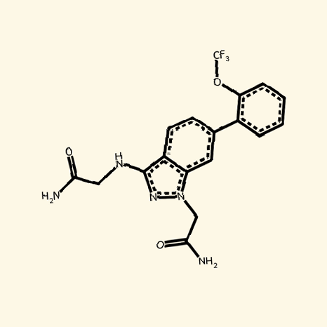 NC(=O)CNc1nn(CC(N)=O)c2cc(-c3ccccc3OC(F)(F)F)ccc12